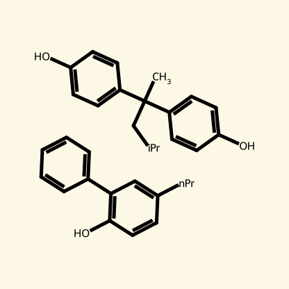 CC(C)CC(C)(c1ccc(O)cc1)c1ccc(O)cc1.CCCc1ccc(O)c(-c2ccccc2)c1